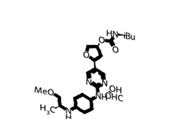 CC[C@H](C)NC(=O)O[C@H]1CO[C@H](c2cnc(NC3CCC(N[C@H](C)COC)CC3)nc2)C1.O=CO